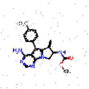 C=C1c2c(-c3ccc(C(=O)O)cc3)c3c(N)ncnc3n2CC1NC(=O)OC(C)(C)C